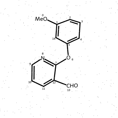 COc1cccc(Oc2ncccc2C=O)c1